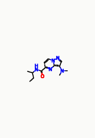 CCC(C)NC(=O)c1ccn2ncc(N(C)C)c2n1